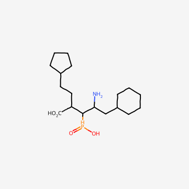 NC(CC1CCCCC1)C(C(CCC1CCCC1)C(=O)O)[PH](=O)O